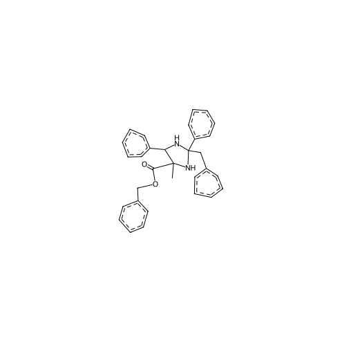 CC1(C(=O)OCc2ccccc2)NC(Cc2ccccc2)(c2ccccc2)NC1c1ccccc1